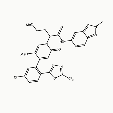 COCCC(C(=O)Nc1ccc2nn(C)cc2c1)n1cc(OC)c(-c2cc(Cl)ccc2-c2nnc(C(F)(F)F)o2)cc1=O